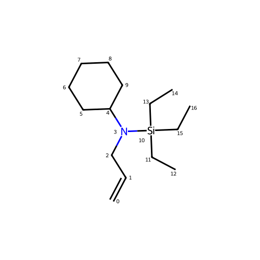 C=CCN(C1CCCCC1)[Si](CC)(CC)CC